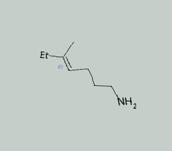 CC/C(C)=C/CCCN